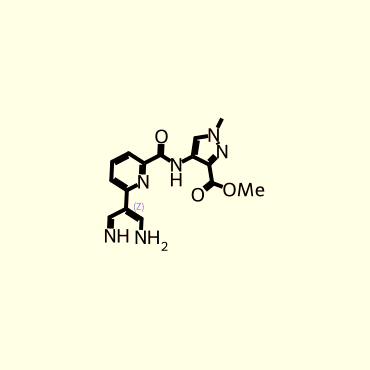 COC(=O)c1nn(C)cc1NC(=O)c1cccc(/C(C=N)=C/N)n1